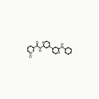 O=C(Nc1cc(-c2ccnc(Nc3ccccc3)c2)ccn1)c1ccc[n+]([O-])c1